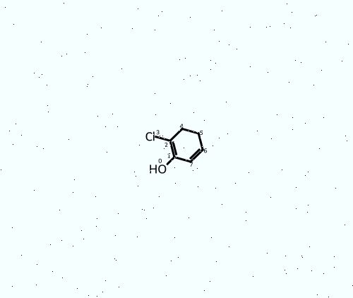 OC1=C(Cl)CCC=C1